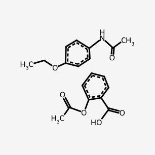 CC(=O)Oc1ccccc1C(=O)O.CCOc1ccc(NC(C)=O)cc1